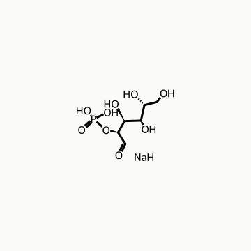 O=C[C@@H](OP(=O)(O)O)[C@@H](O)[C@H](O)[C@H](O)CO.[NaH]